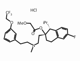 COCC(=O)O[C@@]1(CCN(C)CCc2cccc(OCC(F)(F)F)c2)CCc2cc(F)ccc2[C@H]1C(C)C.Cl